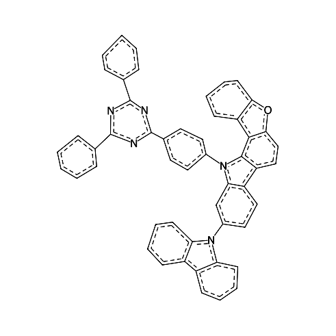 c1ccc(-c2nc(-c3ccccc3)nc(-c3ccc(-n4c5cc(-n6c7ccccc7c7ccccc76)ccc5c5ccc6oc7ccccc7c6c54)cc3)n2)cc1